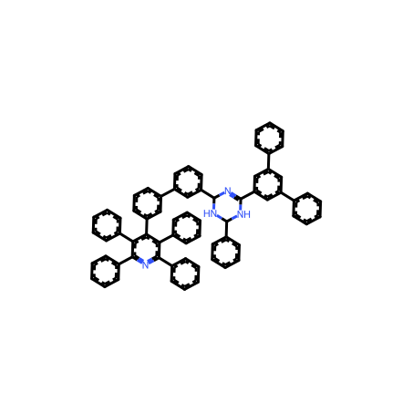 c1ccc(-c2cc(C3=NC(c4cccc(-c5cccc(-c6c(-c7ccccc7)c(-c7ccccc7)nc(-c7ccccc7)c6-c6ccccc6)c5)c4)NC(c4ccccc4)N3)cc(-c3ccccc3)c2)cc1